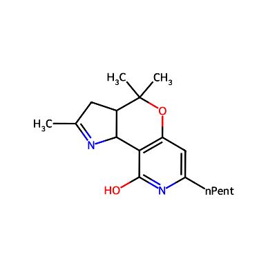 CCCCCc1cc2c(c(O)n1)C1N=C(C)CC1C(C)(C)O2